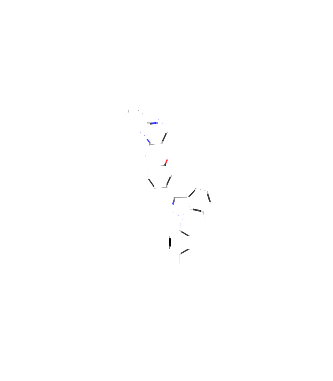 CNc1nccc(Cn2ccc(-c3nn(-c4ccc(Cl)cc4)c4c(F)cccc34)cc2=O)n1